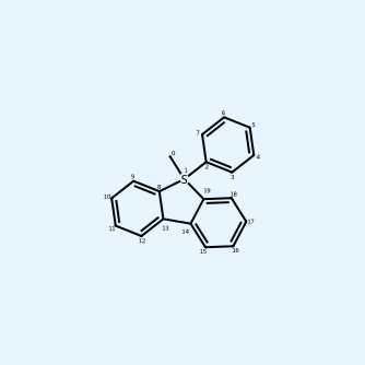 CS1(c2ccccc2)c2ccccc2-c2ccccc21